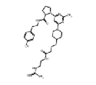 N#Cc1ccc(CCNC(=O)C2CCCN2c2cc(N3CCC(CCCC(=O)NCCNC(=N)N)CC3)nc(C(F)(F)F)n2)cc1